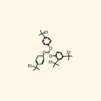 CCC(C)(C)C1=CCC(OP(Oc2ccc(C(C)(C)CC)cc2)Oc2ccc(C(C)(C)CC)cc2C(C)(C)CC)C=C1